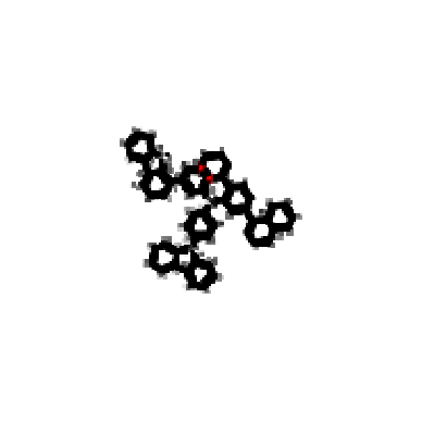 c1ccc(-c2ccc(-c3cccc4ccccc34)cc2N(c2ccc(-n3c4ccccc4c4ccccc43)cc2)c2cccc(-c3cccc4c3oc3ccccc34)c2)cc1